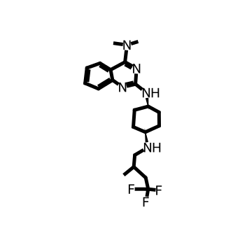 CC(CN[C@H]1CC[C@@H](Nc2nc(N(C)C)c3ccccc3n2)CC1)CC(F)(F)F